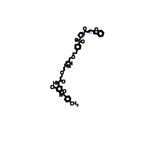 Cc1ccc(-c2nc3cc(Cl)c(NC(=O)CCOCCn4cc(COCCc5ccc(S(=O)(=O)C6CCN(C(=O)/C=C/c7cc8ccccc8o7)C6)cc5)nn4)cc3o2)cc1